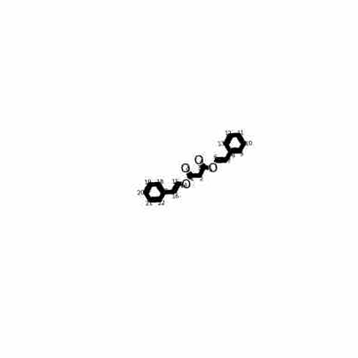 O=C(CC(=O)OC=Cc1ccccc1)OC=Cc1ccccc1